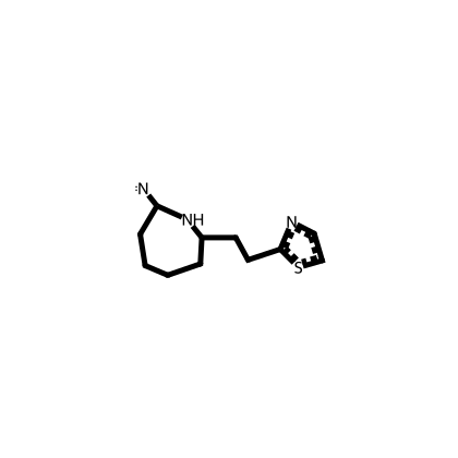 [N]C1CCCCC(CCc2nccs2)N1